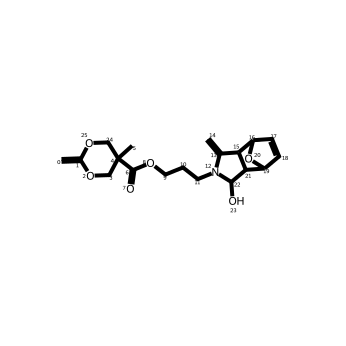 C=C1OCC(C)(C(=O)OCCCN2C(=C)C3C4C=CC(O4)C3C2O)CO1